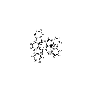 c1ccc2cc(-n3c4ccccc4c4ccc5c6ccccc6n(-c6cnc7ccccc7n6)c5c43)ccc2c1